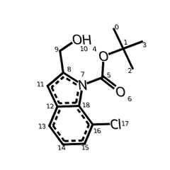 CC(C)(C)OC(=O)n1c(CO)cc2cccc(Cl)c21